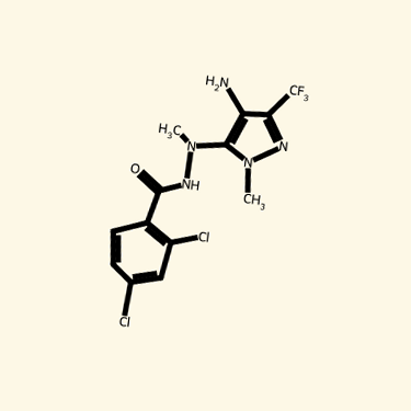 CN(NC(=O)c1ccc(Cl)cc1Cl)c1c(N)c(C(F)(F)F)nn1C